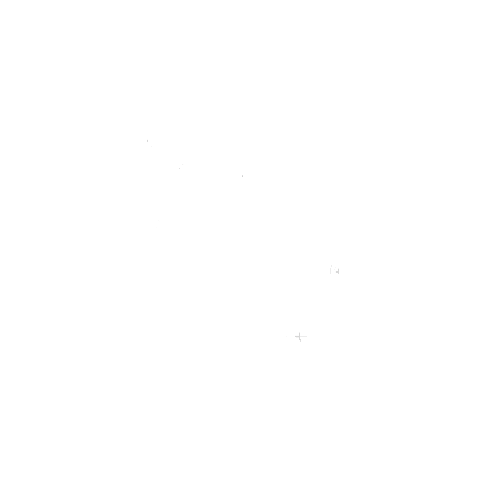 CC1=C2c3ccc(O)c(Br)c3CCC2(C)CC1=O